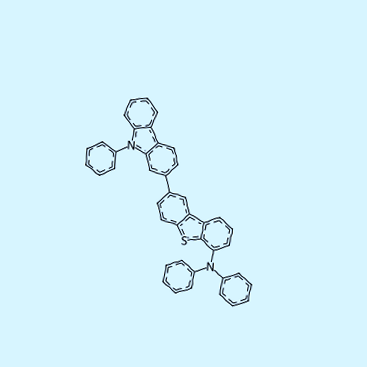 c1ccc(N(c2ccccc2)c2cccc3c2sc2ccc(-c4ccc5c6ccccc6n(-c6ccccc6)c5c4)cc23)cc1